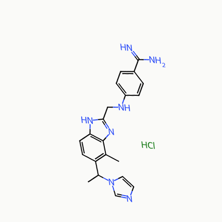 Cc1c(C(C)n2ccnc2)ccc2[nH]c(CNc3ccc(C(=N)N)cc3)nc12.Cl